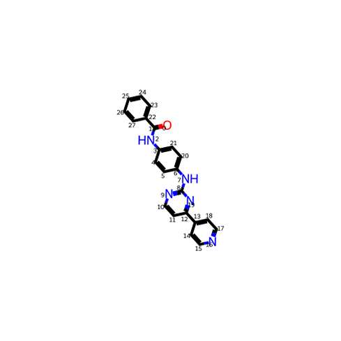 O=C(Nc1ccc(Nc2nccc(-c3ccncc3)n2)cc1)c1ccccc1